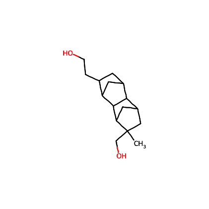 CC1(CO)CC2CC1C1C3CC(CC3CCO)C21